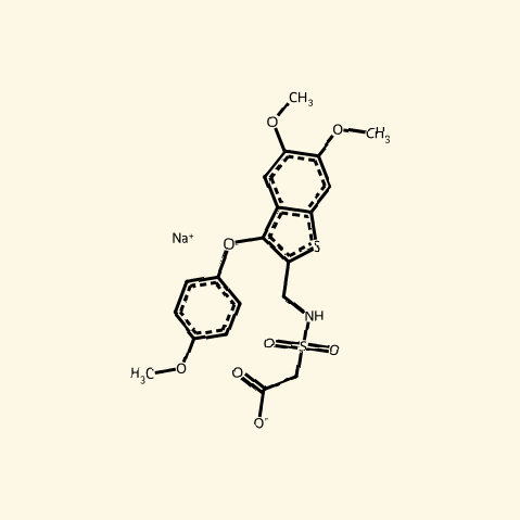 COc1ccc(Oc2c(CNS(=O)(=O)CC(=O)[O-])sc3cc(OC)c(OC)cc23)cc1.[Na+]